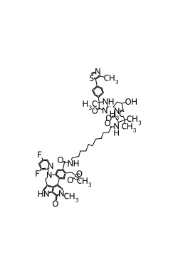 Cc1ncsc1-c1ccc([C@]2(C)NC([C@@H]3C[C@@H](O)CN3C(=O)[C@@H](NC(=O)CCCCCCCCCCNC(=O)c3cc4c(cc3CS(C)(=O)=O)-c3cn(C)c(=O)c5[nH]cc(c35)CN4c3ncc(F)cc3F)C(C)(C)C)=NC2=O)cc1